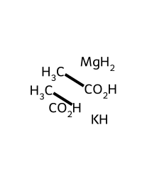 CC(=O)O.CC(=O)O.[KH].[MgH2]